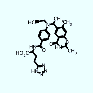 C#CCN(c1ccc(C(=O)NC(CCc2nnn[nH]2)C(=O)O)cc1)C(C)c1cc2c(=O)[nH]c(C)nc2cc1C